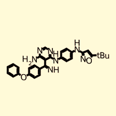 CC(C)(C)c1cc(Nc2ccc(Nc3ncnc(N)c3C(=N)c3ccc(Oc4ccccc4)cc3)cc2)no1